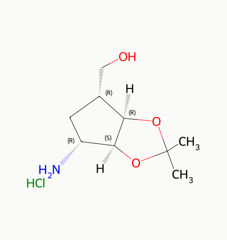 CC1(C)O[C@@H]2[C@@H](CO)C[C@@H](N)[C@@H]2O1.Cl